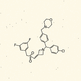 O=S(=O)(C=C1CN(C(c2ccc(Cl)cc2)c2ccc(CN3CCOCC3)cc2)C1)Cc1cc(F)cc(F)c1